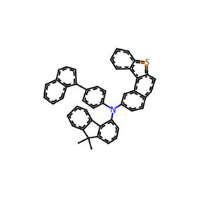 CC1(C)c2ccccc2-c2c(N(c3ccc(-c4cccc5ccccc45)cc3)c3ccc4ccc5sc6ccccc6c5c4c3)cccc21